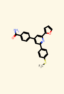 NC(=O)c1ccc(-c2cc(-c3ccc(SC(F)(F)F)cc3)nc(-c3ccco3)c2)cc1